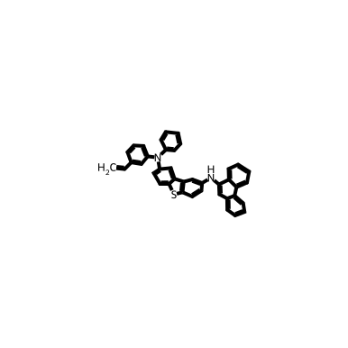 C=Cc1cccc(N(c2ccccc2)c2ccc3sc4ccc(Nc5cc6ccccc6c6ccccc56)cc4c3c2)c1